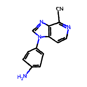 N#Cc1nccc2c1ncn2-c1ccc(N)cc1